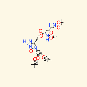 CC(C)(C)OC(=O)NCCCCC(NC(=O)OC(C)(C)C)C(=O)OCC#Cc1cn([C@@H]2C[C@H](CO[Si](C)(C)C(C)(C)C)[C@H](OO[Si](C)(C)C(C)(C)C)C2)c(=O)nc1N